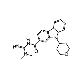 CN(C)C(=N)NC(=O)c1ccc2c(c1)N(C1CCOCC1)C1C=CC=CC21